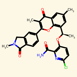 Cc1cc([C@@H](C)Oc2ccc(Cl)nc2C(N)=O)c2oc(-c3ccc4c(c3)CN(C)C4=O)c(C)c(=O)c2c1